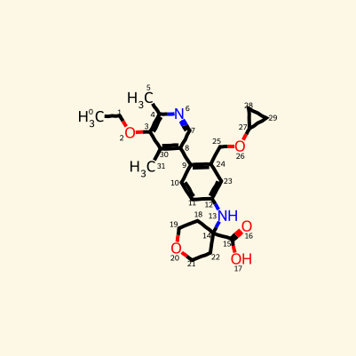 CCOc1c(C)ncc(-c2ccc(NC3(C(=O)O)CCOCC3)cc2COC2CC2)c1C